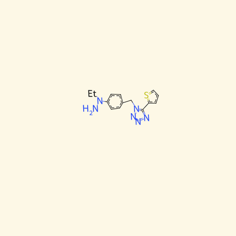 CCN(N)c1ccc(Cn2nnnc2-c2cccs2)cc1